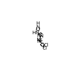 Clc1ccc(-c2nnc(-c3nccc(NC4CCNCC4)n3)s2)cc1Cl